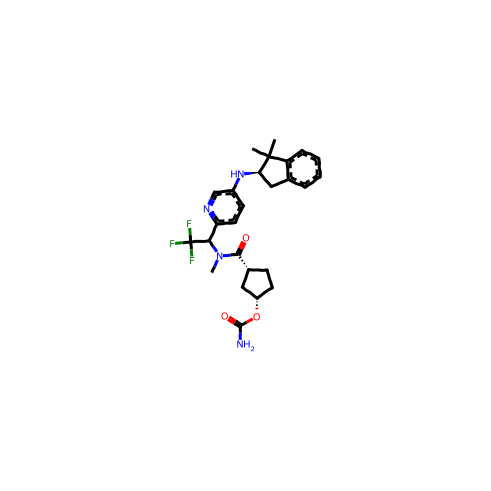 CN(C(=O)[C@@H]1CC[C@H](OC(N)=O)C1)C(c1ccc(N[C@@H]2Cc3ccccc3C2(C)C)cn1)C(F)(F)F